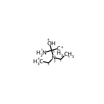 CCN(CC)C(C)(N)O